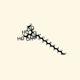 CCCCCCCCCCCCCCCC(=O)O[C@H](C1OCCO1)[C@@H](O)[C@H](O)[C@H](O)CO